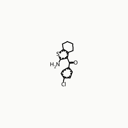 Nc1sc2c(c1C(=O)c1ccc(Cl)cc1)CCCC2